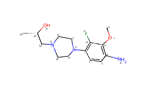 COc1c(N)ccc(N2CCN(C[C@H](C)O)CC2)c1F